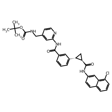 CC(C)(C)OC(=O)NCc1ccnc(NC(=O)c2cccc([C@@H]3C[C@H]3C(=O)Nc3ccc4cccc(Cl)c4c3)c2)c1